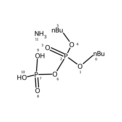 CCCCOP(=O)(OCCCC)OP(=O)(O)O.N